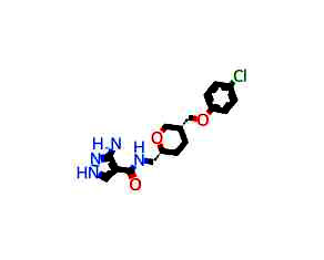 Nc1n[nH]cc1C(=O)NC[C@H]1CC[C@@H](COc2ccc(Cl)cc2)CO1